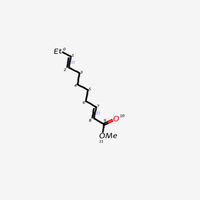 CC/C=C/CCCC/C=C/C(=O)OC